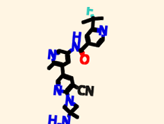 Cc1ncc(NC(=O)c2ccnc(C(C)(C)F)c2)cc1-c1cnc(N2CC(C)(N)C2)c(C#N)c1